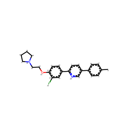 Cc1ccc(-c2ccc(-c3ccc(OCCN4CCCC4)c(F)c3)nc2)cc1